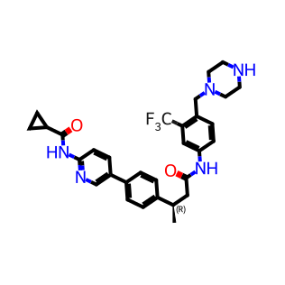 C[C@H](CC(=O)Nc1ccc(CN2CCNCC2)c(C(F)(F)F)c1)c1ccc(-c2ccc(NC(=O)C3CC3)nc2)cc1